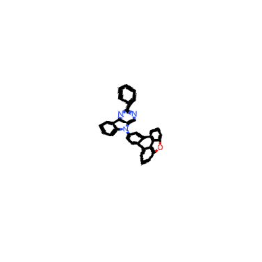 c1ccc(-c2ncc3c(n2)c2ccccc2n3-c2ccc3c(c2)c2cccc4oc5cccc3c5c42)cc1